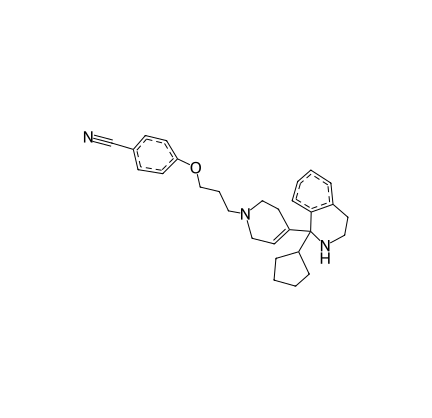 N#Cc1ccc(OCCCN2CC=C(C3(C4CCCC4)NCCc4ccccc43)CC2)cc1